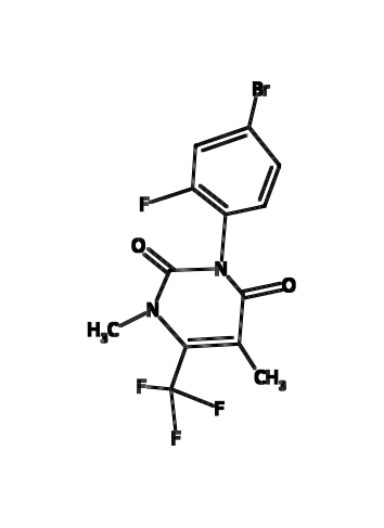 Cc1c(C(F)(F)F)n(C)c(=O)n(-c2ccc(Br)cc2F)c1=O